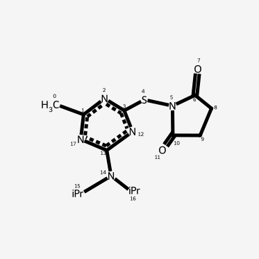 Cc1nc(SN2C(=O)CCC2=O)nc(N(C(C)C)C(C)C)n1